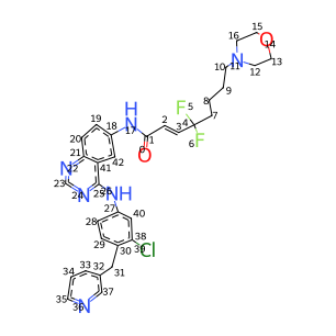 O=C(C=CC(F)(F)CCCCN1CCOCC1)Nc1ccc2ncnc(Nc3ccc(Cc4cccnc4)c(Cl)c3)c2c1